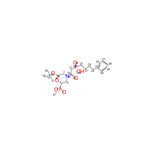 COC(=O)CCN(CC(=O)OC(C)(C)C)C(=O)CP(=O)(O)CCCCc1ccccc1